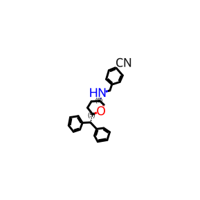 N#Cc1ccc(CN[C@H]2CC[C@@H](C(c3ccccc3)c3ccccc3)OC2)cc1